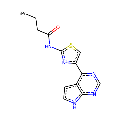 CC(C)CCC(=O)Nc1nc(-c2ncnc3[nH]ccc23)cs1